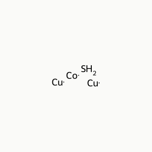 S.[Co].[Cu].[Cu]